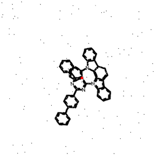 C1=c2c(n(-c3nc(-c4ccccc4)nc(-c4ccc(-c5ccccc5)cc4)n3)c3ccccc23)=C2C(C1)c1ccccc1N2c1ccccc1